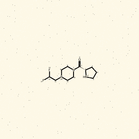 O=C([C@@H]1CCCN1)N1CCN(CC(F)F)CC1